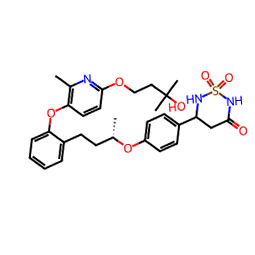 Cc1nc(OCCC(C)(C)O)ccc1Oc1ccccc1CC[C@H](C)Oc1ccc(C2CC(=O)NS(=O)(=O)N2)cc1